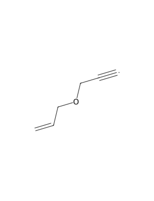 [C]#CCOCC=C